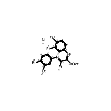 CCCCCCCCC(=Nc1ccc(CC)c(CC)c1)C(CC)=Nc1ccc(CC)c(CC)c1.[Ni]